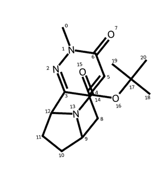 Cn1nc2c(cc1=O)CC1CCC2N1C(=O)OC(C)(C)C